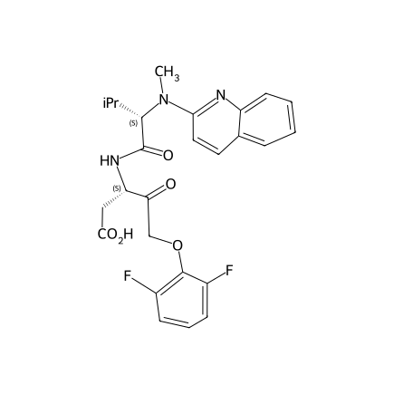 CC(C)[C@@H](C(=O)N[C@@H](CC(=O)O)C(=O)COc1c(F)cccc1F)N(C)c1ccc2ccccc2n1